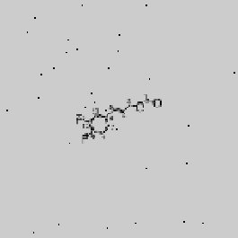 O=[C]OCC=Cc1ccc(F)c(F)c1